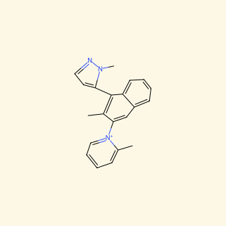 Cc1c(-[n+]2ccccc2C)cc2ccccc2c1-c1ccnn1C